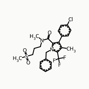 Cc1c(-c2ccc(Cl)cc2)c(C(=O)N(C)CCCS(C)(=O)=O)n(Cc2ccccc2)c1C(F)(F)F